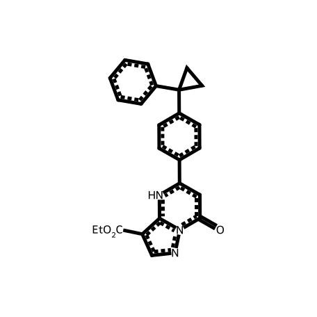 CCOC(=O)c1cnn2c(=O)cc(-c3ccc(C4(c5ccccc5)CC4)cc3)[nH]c12